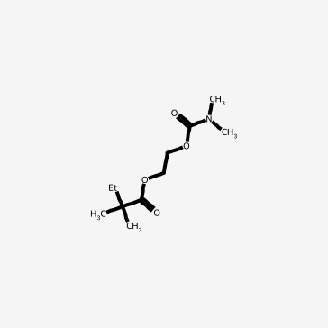 CCC(C)(C)C(=O)OCCOC(=O)N(C)C